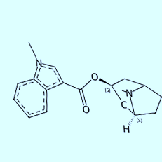 CN1C2CC[C@H]1C[C@@H](OC(=O)c1cn(C)c3ccccc13)C2